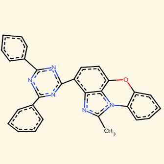 Cc1nc2c(-c3nc(-c4ccccc4)nc(-c4ccccc4)n3)ccc3c2n1-c1ccccc1O3